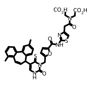 Cc1ccc2c(c1)-c1cccc(C)c1C=CC2c1c[nH]c(=O)n(Cc2ccc(C(=O)Nc3nc(CC(=O)N(CC(=O)O)CC(=O)O)cs3)o2)c1=S